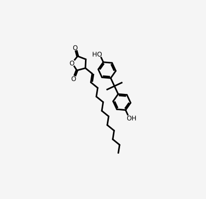 CC(C)(c1ccc(O)cc1)c1ccc(O)cc1.CCCCCCCCCCC=CC1CC(=O)OC1=O